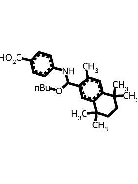 CCCCOC(Nc1ccc(C(=O)O)cc1)c1cc2c(cc1C)C(C)(C)CCC2(C)C